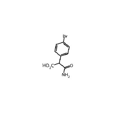 NC(=O)C(C(=O)O)c1ccc(Br)cc1